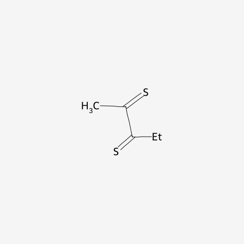 CCC(=S)C(C)=S